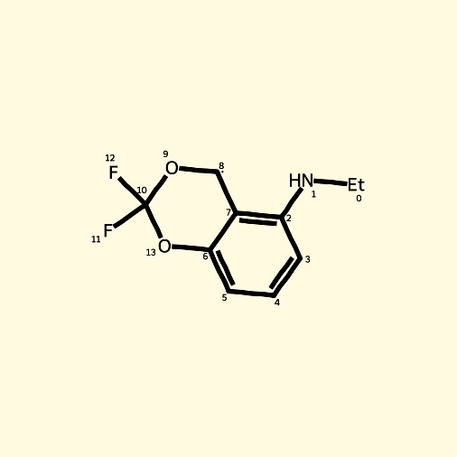 CCNc1cccc2c1[CH]OC(F)(F)O2